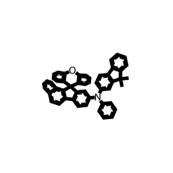 CC1(C)c2ccccc2-c2ccc(N(c3ccccc3)c3ccc4c(c3)C3(c5ccccc5Oc5ccccc53)c3c-4ccc4ccccc34)cc21